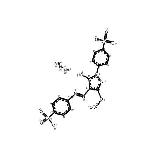 O=C([O-])Oc1nn(-c2ccc(S(=O)(=O)[O-])cc2)c(O)c1N=Nc1ccc(S(=O)(=O)[O-])cc1.[Na+].[Na+].[Na+]